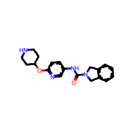 O=C(Nc1ccc(OC2CCNCC2)nc1)N1Cc2ccccc2C1